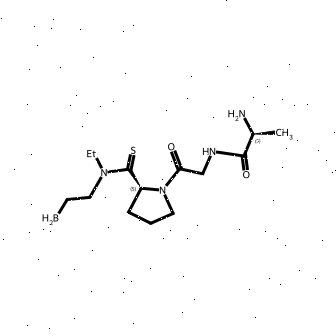 BCCN(CC)C(=S)[C@@H]1CCCN1C(=O)CNC(=O)[C@H](C)N